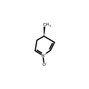 C[C@H]1C=C[N+]([O-])=CC1